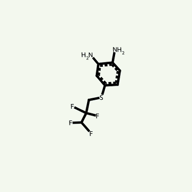 Nc1ccc(SCC(F)(F)C(F)F)cc1N